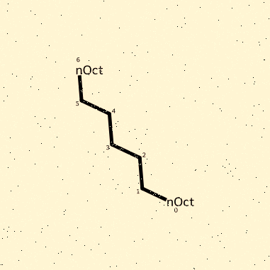 [CH]CCCCCCCCCCCCCCCCCCCC